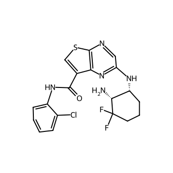 N[C@@H]1[C@H](Nc2cnc3scc(C(=O)Nc4ccccc4Cl)c3n2)CCCC1(F)F